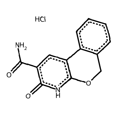 Cl.NC(=O)c1cc2c([nH]c1=O)OCc1ccccc1-2